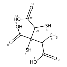 CC(C(=O)O)C(S)(C(=O)O)C(S)C(=O)O